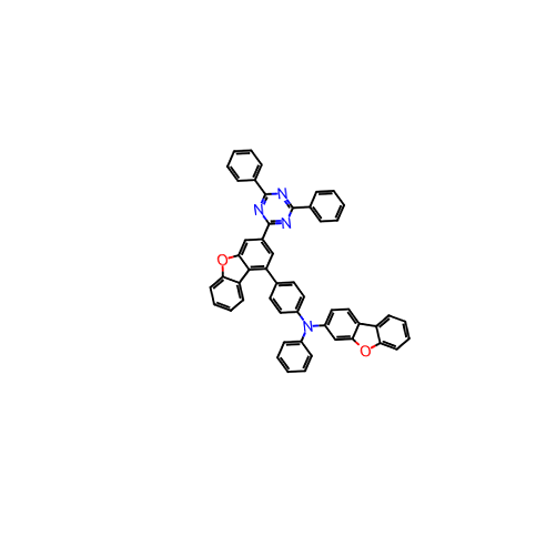 c1ccc(-c2nc(-c3ccccc3)nc(-c3cc(-c4ccc(N(c5ccccc5)c5ccc6c(c5)oc5ccccc56)cc4)c4c(c3)oc3ccccc34)n2)cc1